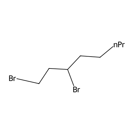 CCCCCC(Br)CCBr